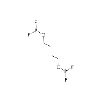 FP(F)OCCCCOP(F)F